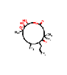 C=CCC1CC(C)CCCC2(C)OC2(O)C(O)COC(=O)CCC(C)(C)C1=O